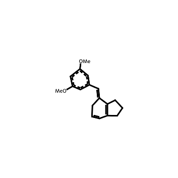 COc1cc(/C=C2\CC=CC3=C2CCC3)cc(OC)c1